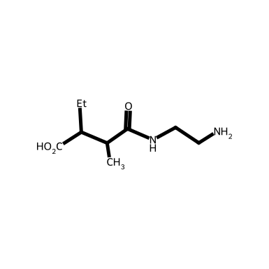 CCC(C(=O)O)C(C)C(=O)NCCN